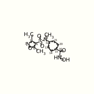 Cc1noc(C)c1S(=O)(=O)N(C)c1ccc(C(=O)NO)cc1